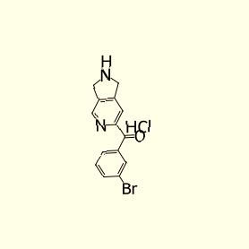 Cl.O=C(c1cccc(Br)c1)c1cc2c(cn1)CNC2